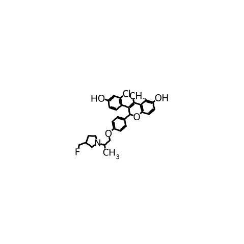 CC1=C(c2ccc(O)cc2Cl)C(c2ccc(OCC(C)N3CCC(CF)C3)cc2)Oc2ccc(O)cc21